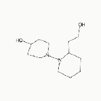 OCCC1CCCCN1N1CCC(O)CC1